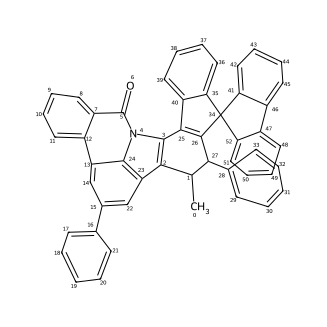 CC1c2c(n3c(=O)c4ccccc4c4cc(-c5ccccc5)cc2c43)C2=C(C1c1ccccc1)C1(c3ccccc32)c2ccccc2-c2ccccc21